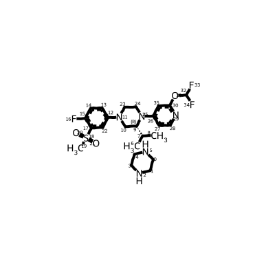 C1CNCCN1.CC(C)[C@@H]1CN(c2ccc(F)c(S(C)(=O)=O)c2)CCN1c1ccnc(OC(F)F)c1